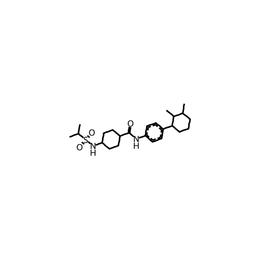 CC1CCCC(c2ccc(NC(=O)C3CCC(NS(=O)(=O)C(C)C)CC3)cc2)C1C